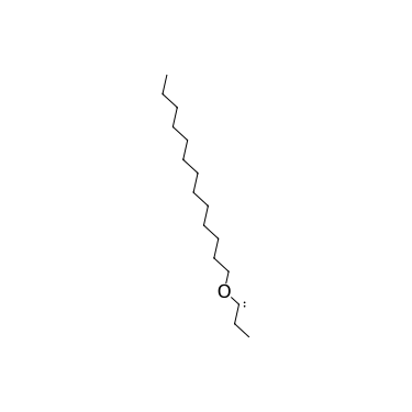 CC[C]OCCCCCCCCCCCCC